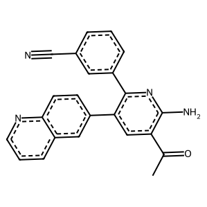 CC(=O)c1cc(-c2ccc3ncccc3c2)c(-c2cccc(C#N)c2)nc1N